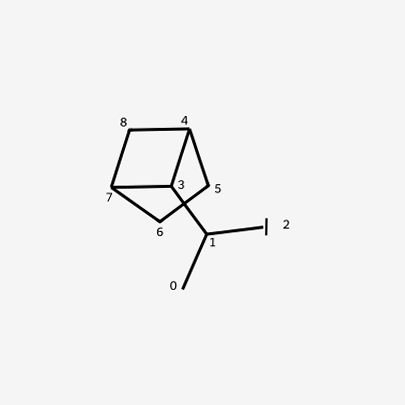 CC(I)C1C2CCC1C2